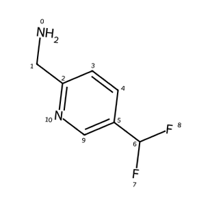 NCc1ccc(C(F)F)cn1